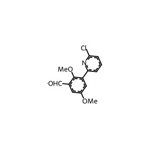 COc1cc([C]=O)c(OC)c(-c2cccc(Cl)n2)c1